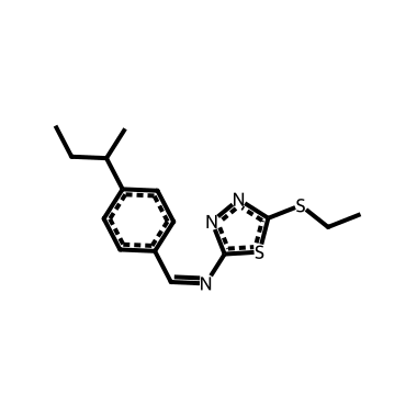 CCSc1nnc(/N=C\c2ccc(C(C)CC)cc2)s1